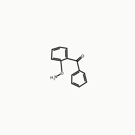 NOc1ccccc1C(=O)c1ccccc1